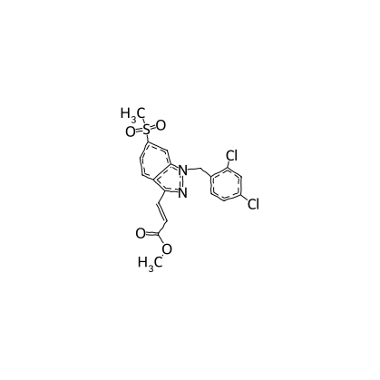 COC(=O)/C=C/c1nn(Cc2ccc(Cl)cc2Cl)c2cc(S(C)(=O)=O)ccc12